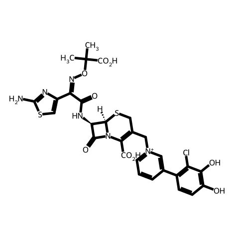 CC(C)(O/N=C(\C(=O)N[C@@H]1C(=O)N2C(C(=O)O)=C(C[n+]3cccc(-c4ccc(O)c(O)c4Cl)c3)CS[C@H]12)c1csc(N)n1)C(=O)O